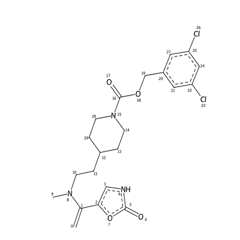 C=C(c1c[nH]c(=O)o1)N(C)CCC1CCN(C(=O)OCc2cc(Cl)cc(Cl)c2)CC1